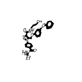 CCNC(=O)c1ccc(-n2nnc(C(=O)NCCO)c2COc2cccc(Oc3ccccc3)c2)cc1